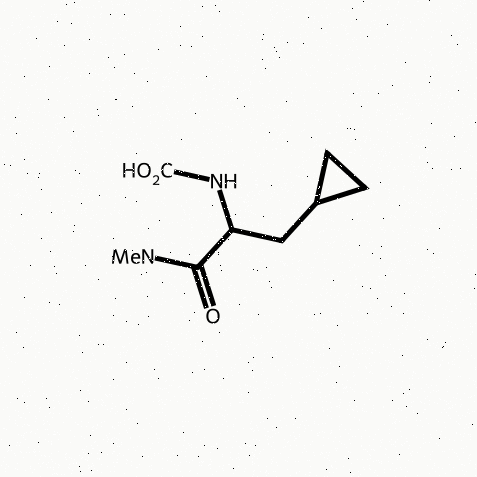 CNC(=O)C(CC1CC1)NC(=O)O